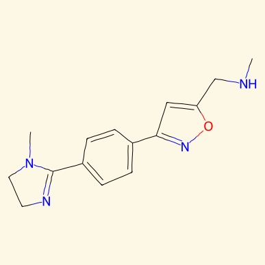 CNCc1cc(-c2ccc(C3=NCCN3C)cc2)no1